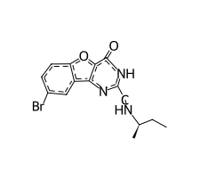 CC[C@@H](C)NCc1nc2c(oc3ccc(Br)cc32)c(=O)[nH]1